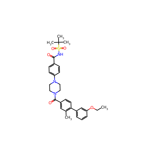 CCOc1cccc(-c2ccc(C(=O)N3CCN(c4ccc(C(=O)NS(=O)(=O)C(C)(C)C)cc4)CC3)cc2C)c1